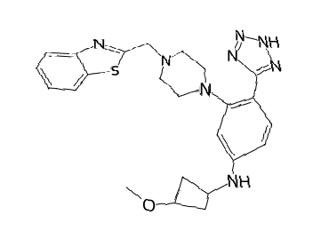 COC1CC(Nc2ccc(-c3nn[nH]n3)c(N3CCN(Cc4nc5ccccc5s4)CC3)c2)C1